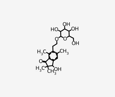 Cc1cc2c(c(C)c1CCOC1OC(CO)C(O)C(O)C1O)C(=O)C(C)(C)C2O